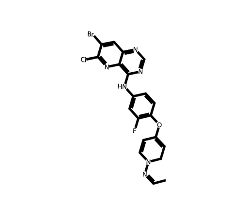 C/C=N\N1C=CC(Oc2ccc(Nc3ncnc4cc(Br)c(Cl)nc34)cc2F)=CC1